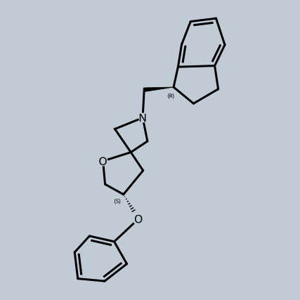 c1ccc(O[C@@H]2COC3(C2)CN(C[C@@H]2CCc4ccccc42)C3)cc1